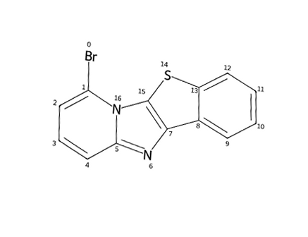 Brc1cccc2nc3c4ccccc4sc3n12